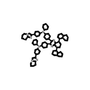 c1ccc(N(c2ccc(-c3cn4ccccc4n3)cc2)c2ccc(-c3nc4c(-c5cccc6ccccc56)ccc(-c5cccc6ccccc56)c4nc3-c3ccc(N(c4ccccc4)c4ccc(-c5cn6ccccc6n5)cc4)cc3)cc2)cc1